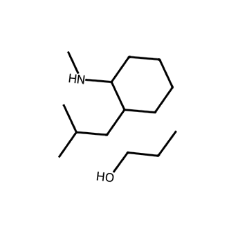 CCCO.CNC1CCCCC1CC(C)C